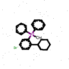 C[P+](c1ccccc1)(c1ccccc1)c1ccccc1C1CCCCC1.[Br-]